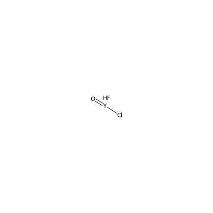 F.[O]=[Y][Cl]